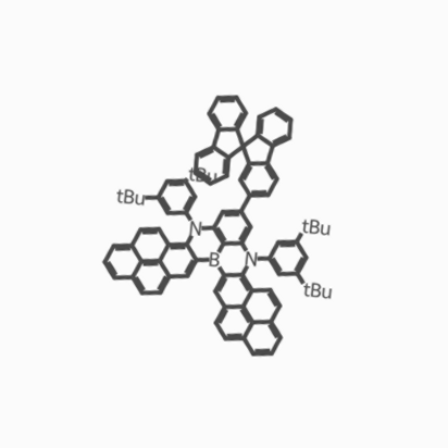 CC(C)(C)c1cc(N2c3cc(-c4ccc5c(c4)C4(c6ccccc6-c6ccccc64)c4ccccc4-5)cc4c3B(c3cc5ccc6cccc7ccc(c32)c5c67)c2cc3ccc5cccc6ccc(c2N4c2cc(C(C)(C)C)cc(C(C)(C)C)c2)c3c56)cc(C(C)(C)C)c1